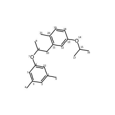 Cc1cc(C)cc(OC(C)Cc2cc(OC(C)C)ccc2C)c1